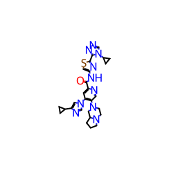 O=C(Nc1csc(-c2nncn2C2CC2)n1)c1cc(-n2cnc(C3CC3)c2)c(N2CCN3CCCC3C2)cn1